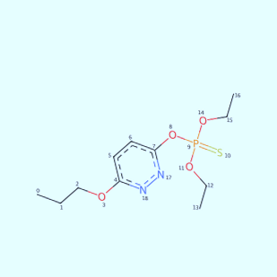 CCCOc1ccc(OP(=S)(OCC)OCC)nn1